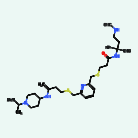 C=C(CCSCc1cccc(CSCCC(=O)NC(C=O)(CCC)CCNC=O)n1)NC1CCN(C(C)NC)CC1